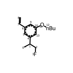 [CH2]C(CF)c1cc(C=C)cc(OCCCC)c1